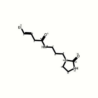 CCC=CCC(=O)NCCCN1CCNC1=O